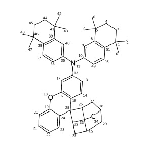 CC1(C)CCC(C)(C)c2cc(N(c3ccc4c(c3)Oc3ccccc3C43C4CC5CC6CC3C64C5)c3ccc4c(c3)C(C)(C)CCC4(C)C)ccc21